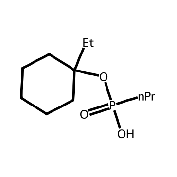 CCCP(=O)(O)OC1(CC)CCCCC1